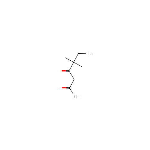 CC(C)(C)C(=O)CC(=O)C(C)(C)[CH2][Ta]